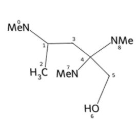 CNC(C)CC(CO)(NC)NC